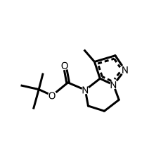 Cc1cnn2c1N(C(=O)OC(C)(C)C)CCC2